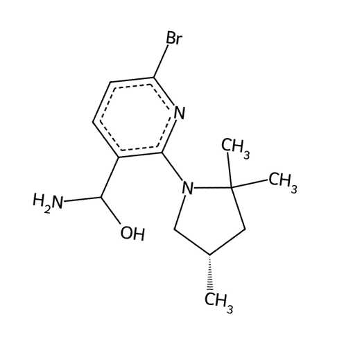 C[C@@H]1CN(c2nc(Br)ccc2C(N)O)C(C)(C)C1